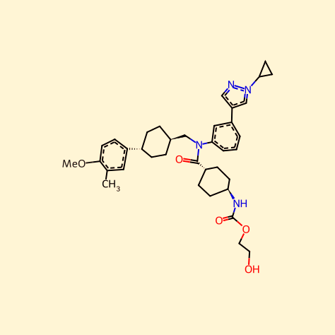 COc1ccc([C@H]2CC[C@H](CN(c3cccc(-c4cnn(C5CC5)c4)c3)C(=O)[C@H]3CC[C@H](NC(=O)OCCO)CC3)CC2)cc1C